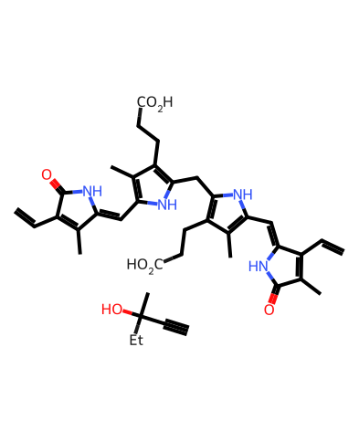 C#CC(C)(O)CC.C=CC1=C(C)/C(=C/c2[nH]c(Cc3[nH]c(/C=C4\NC(=O)C(C)=C4C=C)c(C)c3CCC(=O)O)c(CCC(=O)O)c2C)NC1=O